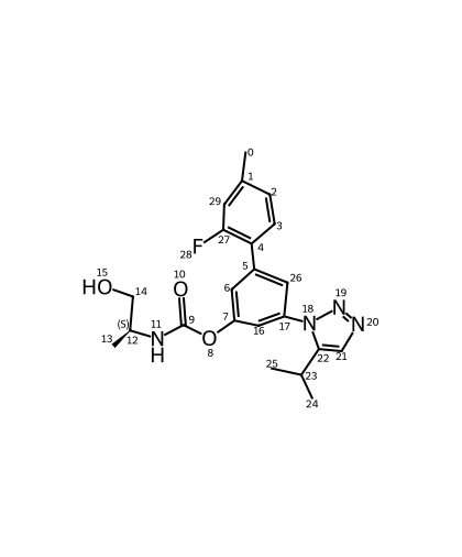 Cc1ccc(-c2cc(OC(=O)N[C@@H](C)CO)cc(-n3nncc3C(C)C)c2)c(F)c1